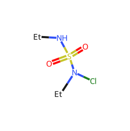 CCNS(=O)(=O)N(Cl)CC